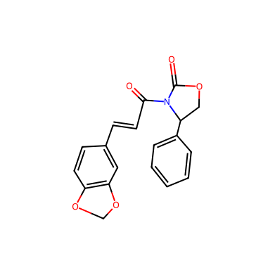 O=C(C=Cc1ccc2c(c1)OCO2)N1C(=O)OCC1c1ccccc1